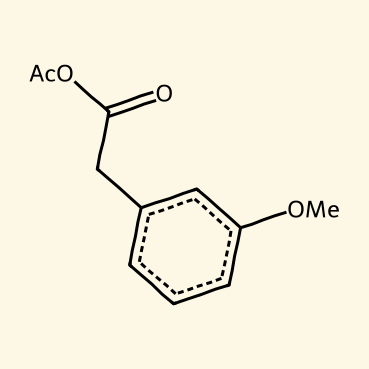 COc1cccc(CC(=O)OC(C)=O)c1